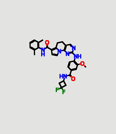 COc1cc(C(=O)NC2CC(F)(F)C2)ccc1Nc1ncc2c(n1)-n1ccc(C(=O)Nc3c(C)cccc3C)c1CC2